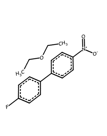 CCOCC.O=[N+]([O-])c1ccc(-c2ccc(F)cc2)cc1